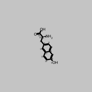 N[C@@H](Cc1ccc2cc(O)ccc2c1)C(=O)O